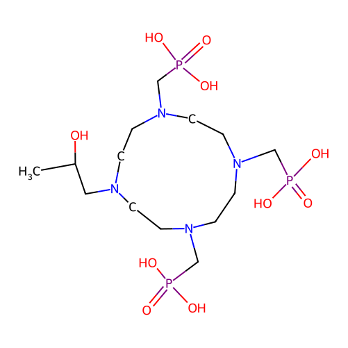 CC(O)CN1CCN(CP(=O)(O)O)CCN(CP(=O)(O)O)CCN(CP(=O)(O)O)CC1